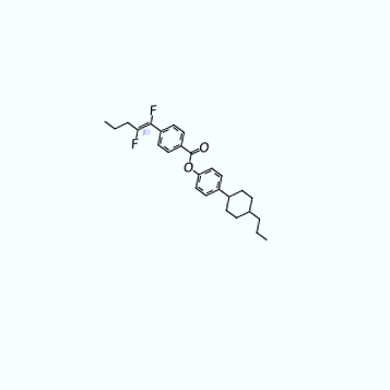 CCC/C(F)=C(\F)c1ccc(C(=O)Oc2ccc(C3CCC(CCC)CC3)cc2)cc1